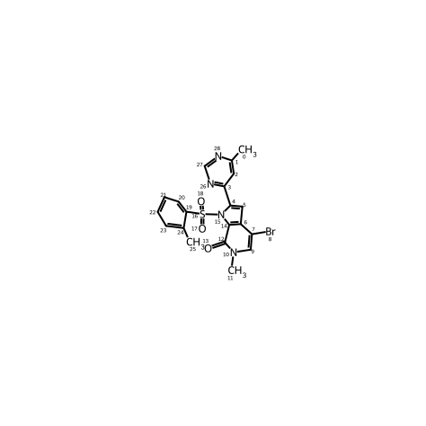 Cc1cc(-c2cc3c(Br)cn(C)c(=O)c3n2S(=O)(=O)c2ccccc2C)ncn1